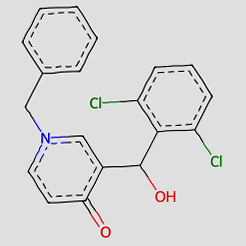 O=c1ccn(Cc2ccccc2)cc1C(O)c1c(Cl)cccc1Cl